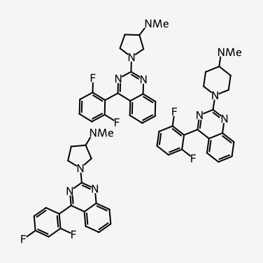 CNC1CCN(c2nc(-c3c(F)cccc3F)c3ccccc3n2)C1.CNC1CCN(c2nc(-c3c(F)cccc3F)c3ccccc3n2)CC1.CNC1CCN(c2nc(-c3ccc(F)cc3F)c3ccccc3n2)C1